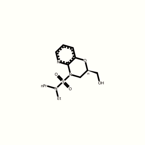 CCCN(CC)S(=O)(=O)N1C[C@H](CO)Oc2cccnc21